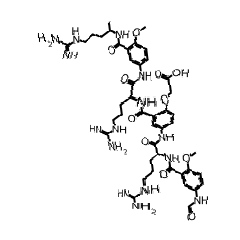 COc1ccc(NC(=O)C(CCCNC(=N)N)NC(=O)c2cc(NC(=O)[C@H](CCCNC(=N)N)NC(=O)c3cc(NC=O)ccc3OC)ccc2OCC(=O)O)cc1C(=O)NC(C)CCCNC(=N)N